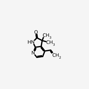 C=Cc1ccnc2c1C(C)(C)C(=O)N2